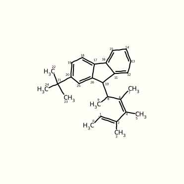 C[C]=C(C)C(C)=C(C)C(C)C1c2ccccc2-c2ccc(C(C)(C)C)cc21